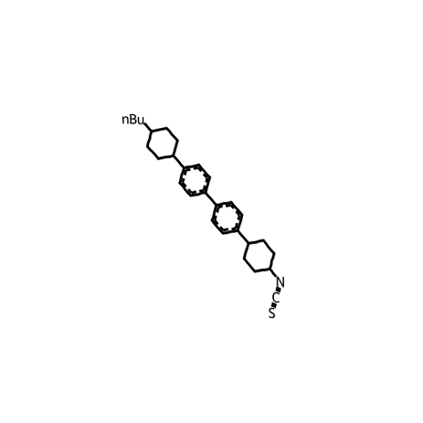 CCCCC1CCC(c2ccc(-c3ccc(C4CCC(N=C=S)CC4)cc3)cc2)CC1